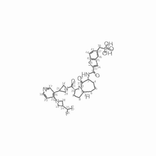 O=C(N[C@H]1CCC[C@H]2CC[C@@H](C(=O)N3CC(c4cnccc4N4CC(C(F)F)C4)C3)N2C1=O)c1cc2cc(CP(=O)(O)O)ccc2s1